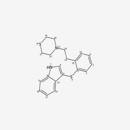 c1ccc(Sc2c[nH]c3ccccc23)c(CCN2CCSCC2)c1